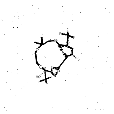 CC1(C)CNc2nc(c(N)cc2C(F)(F)F)-c2nnc(o2)[C@@](O)(C(F)(F)F)CCCO1